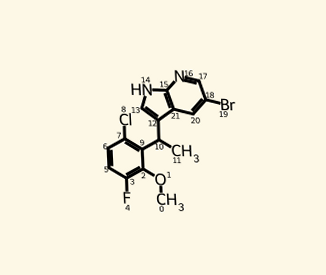 COc1c(F)ccc(Cl)c1C(C)c1c[nH]c2ncc(Br)cc12